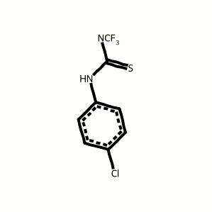 FC(F)(F)NC(=S)Nc1ccc(Cl)cc1